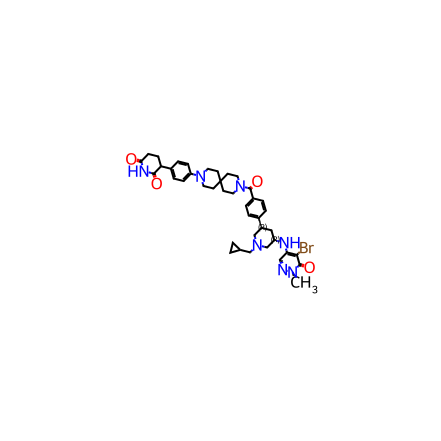 Cn1ncc(N[C@@H]2C[C@H](c3ccc(C(=O)N4CCC5(CC4)CCN(c4ccc(C6CCC(=O)NC6=O)cc4)CC5)cc3)CN(CC3CC3)C2)c(Br)c1=O